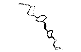 CCCCCCCC[C@H]1CC[C@H]([C@H]2CC[C@H](C=Cc3ccc(OCC(F)(F)F)cc3)CC2)CC1